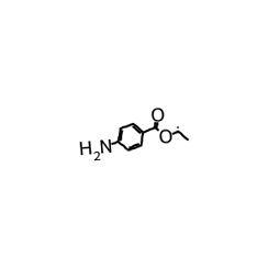 C[CH]OC(=O)c1ccc(N)cc1